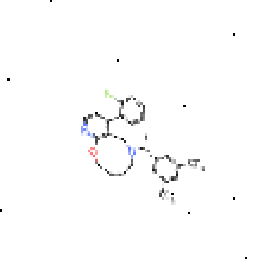 CC(c1cc(C(F)(F)F)cc(C(F)(F)F)c1)N1CCCCOc2nccc(-c3ccccc3F)c2C1